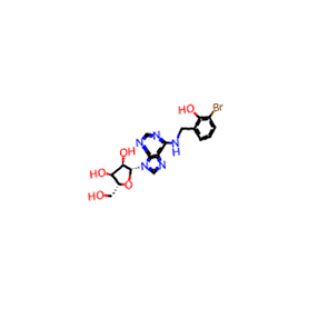 OC[C@H]1O[C@@H](n2cnc3c(NCc4cccc(Br)c4O)ncnc32)[C@H](O)[C@@H]1O